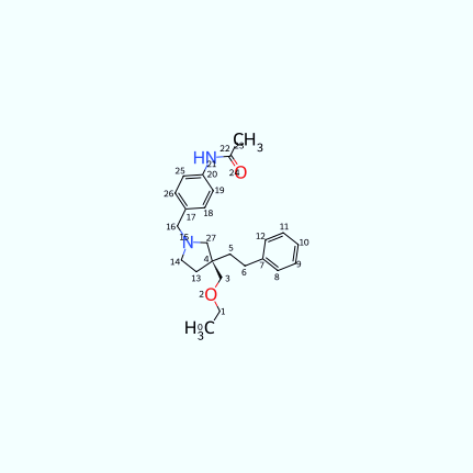 CCOC[C@@]1(CCc2ccccc2)CCN(Cc2ccc(NC(C)=O)cc2)C1